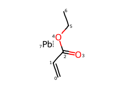 C=CC(=O)OCC.[Pb]